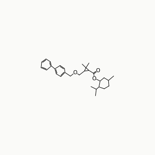 CC1CCC(C(C)C)C(OC(=O)C2C(COCc3ccc(-c4ccccc4)cc3)C2(C)C)C1